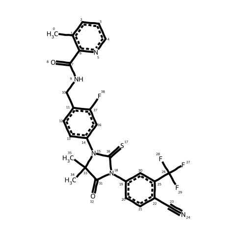 Cc1cccnc1C(=O)NCc1ccc(N2C(=S)N(c3ccc(C#N)c(C(F)(F)F)c3)C(=O)C2(C)C)cc1F